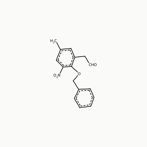 Cc1cc(CC=O)c(OCc2ccccc2)c([N+](=O)[O-])c1